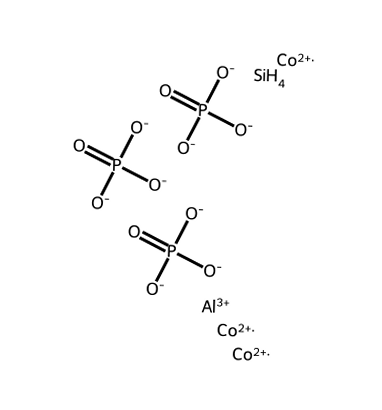 O=P([O-])([O-])[O-].O=P([O-])([O-])[O-].O=P([O-])([O-])[O-].[Al+3].[Co+2].[Co+2].[Co+2].[SiH4]